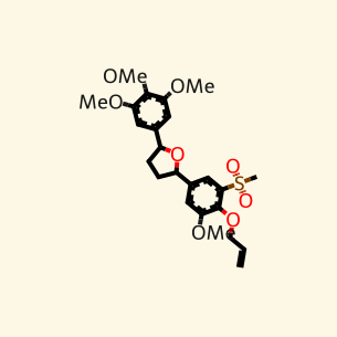 C=CCOc1c(OC)cc(C2CCC(c3cc(OC)c(OC)c(OC)c3)O2)cc1S(C)(=O)=O